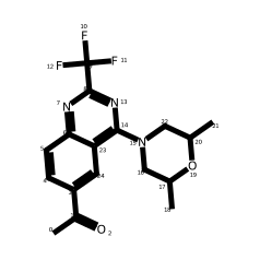 CC(=O)c1ccc2nc(C(F)(F)F)nc(N3CC(C)OC(C)C3)c2c1